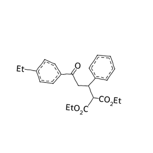 CCOC(=O)C(C(=O)OCC)C(CC(=O)c1ccc(CC)cc1)c1ccccc1